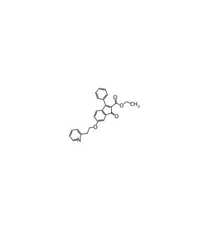 CCOC(=O)C1=C(c2ccccc2)c2ccc(OCCc3ccccn3)cc2C1=O